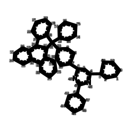 c1ccc(-c2cc(-c3ccc(C4(c5ccccc5)c5ccccc5-c5c4c4ccccc4c4ccccc54)cc3)nc(-c3ccccc3)n2)cc1